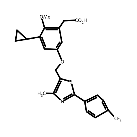 COc1c(CC(=O)O)cc(OCc2sc(-c3ccc(C(F)(F)F)cc3)nc2C)cc1C1CC1